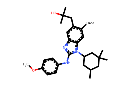 COc1cc2c(cc1CC(C)(C)O)nc(Nc1ccc(OC(F)(F)F)cc1)n2C1CC(C)CC(C)(C)C1